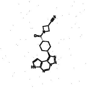 N#CC1CN(C(=O)[C@H]2CC[C@H](c3nnn4cnc5[nH]ccc5c34)CC2)C1